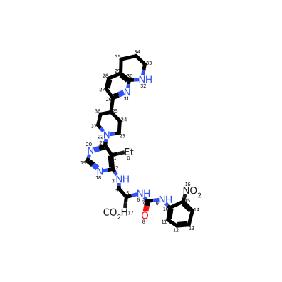 CCc1c(NCC(NC(=O)Nc2ccccc2[N+](=O)[O-])C(=O)O)ncnc1N1CCC(c2ccc3c(n2)NCCC3)CC1